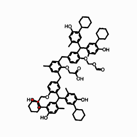 Cc1cc(Cc2ccc(OCOC=O)c(C(c3cc(C4CCCCC4)c(O)cc3C)c3cc(C4CCCCC4)c(O)cc3C)c2)c(OCC(=O)O)c(Cc2ccc(OCC(=O)O)c(C(c3cc(C4CCCCC4)c(O)cc3C)c3cc(C4CCCCC4)c(O)cc3C)c2)c1